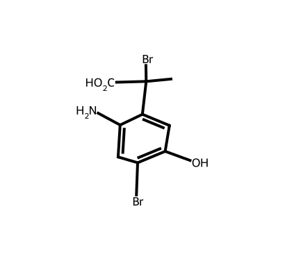 CC(Br)(C(=O)O)c1cc(O)c(Br)cc1N